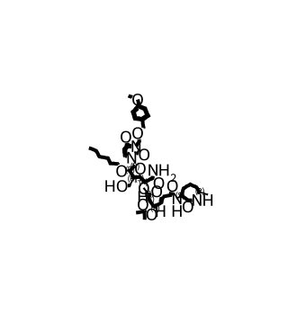 CCCCCCO[C@@H]1[C@H](CO)[C@@H]([C@@H](O[C@H]2OC(C(=O)N[C@H]3CCC[C@@H](C)NC3=O)=C[C@@H]3OC(C)(C)O[C@H]23)C(N)=O)O[C@H]1n1ccc(=O)n(COCc2ccc(OC)cc2)c1=O